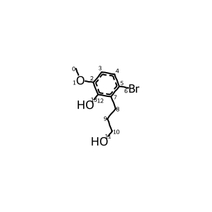 COc1ccc(Br)c(CCCO)c1O